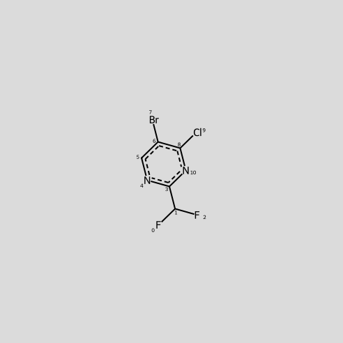 FC(F)c1ncc(Br)c(Cl)n1